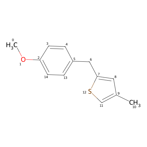 COc1ccc(Cc2cc(C)cs2)cc1